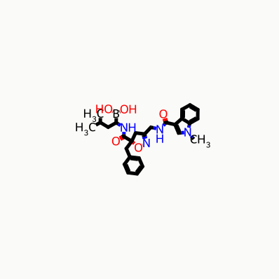 CC(C)CC(NC(=O)C1(Cc2ccccc2)CC(CNC(=O)c2cn(C)c3ccccc23)=NO1)B(O)O